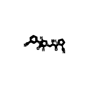 N#Cc1cccc(N2C(=O)[C@@H]3C[C@H]2CN3C[C@H](N)C(=O)N2CCC[C@H]2C#N)c1